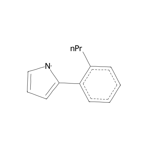 CCCc1ccccc1C1=CC=C[N]1